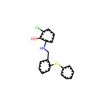 Oc1c(Cl)cccc1NCc1ccccc1Sc1ccccc1